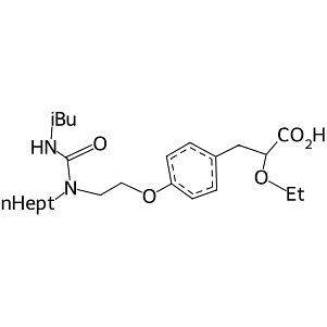 CCCCCCCN(CCOc1ccc(CC(OCC)C(=O)O)cc1)C(=O)NC(C)CC